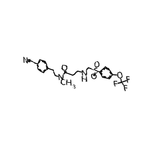 CN(CCc1ccc(C#N)cc1)C(=O)CCNCS(=O)(=O)c1ccc(OC(F)(F)F)cc1